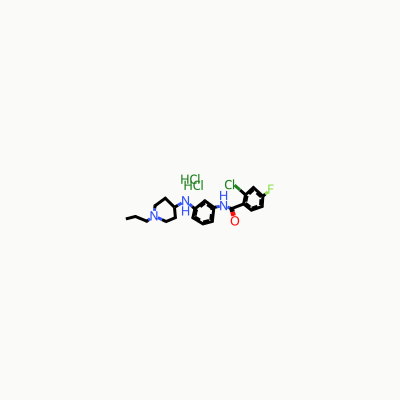 CCCN1CCC(Nc2cccc(NC(=O)c3ccc(F)cc3Cl)c2)CC1.Cl.Cl